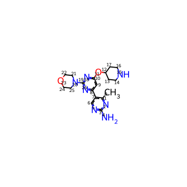 Cc1nc(N)ncc1-c1cc(OC2CCNCC2)nc(N2CCOCC2)n1